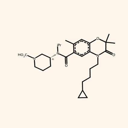 Cc1cc2c(cc1C(=O)N(C(C)C)[C@@H]1CCCN(C(=O)O)C1)N(CCCCC1CC1)C(=O)C(C)(C)O2